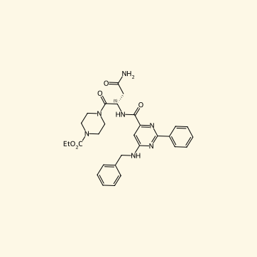 CCOC(=O)N1CCN(C(=O)[C@H](CC(N)=O)NC(=O)c2cc(NCc3ccccc3)nc(-c3ccccc3)n2)CC1